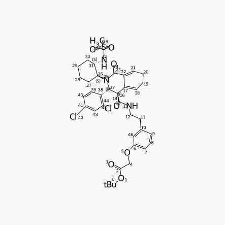 CC(C)(C)OC(=O)COc1cccc(CCNC(=O)[C@@H]2C3=CCCC=C3C(=O)N([C@H]3CCCC[C@@H]3NS(C)(=O)=O)[C@H]2c2ccc(Cl)cc2Cl)c1